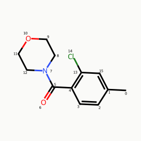 Cc1ccc(C(=O)N2CCOCC2)c(Cl)c1